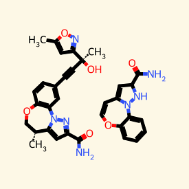 Cc1cc([C@@](C)(O)C#Cc2ccc3c(c2)-n2nc(C(N)=O)cc2[C@H](C)CO3)no1.NC(=O)C1C=C2C=COc3ccccc3N2N1